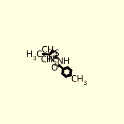 Cc1ccc(C(=O)Nc2nc(C(C)(C)C)cs2)cc1